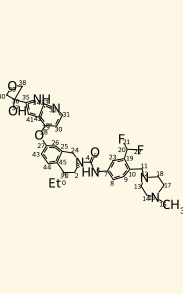 CC[C@H]1CN(C(=O)Nc2ccc(CN3CCN(C)CC3)c(C(F)F)c2)Cc2cc(Oc3ccnc4[nH]c(C5(O)COC5)cc34)ccc21